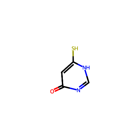 O=c1cc(S)[nH]cn1